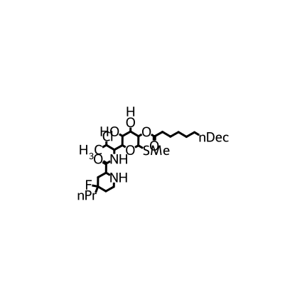 CCCCCCCCCCCCCCCC(=O)OC1C(SC)OC(C(NC(=O)C2CC(F)(CCC)CCN2)C(C)Cl)C(O)C1O